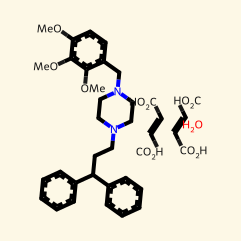 COc1ccc(CN2CCN(CCC(c3ccccc3)c3ccccc3)CC2)c(OC)c1OC.O.O=C(O)/C=C/C(=O)O.O=C(O)/C=C/C(=O)O